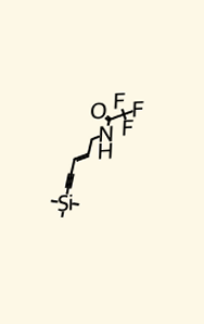 C[Si](C)(C)C#CC=CCNC(=O)C(F)(F)F